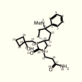 CN[C@]1(c2ccccc2)CC[C@]2(CC1)CN(CCC(N)=O)C(=O)N2CC1(O)CCC1